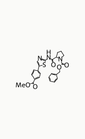 COC(=O)c1ccc(-c2cnc(NC(=O)C3CCCN3C(=O)OCc3ccccc3)s2)cc1